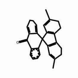 CC1=CC2=C(CC1)C1=C(C=C(C)CC1)C21C2=CCCC=C2C(=O)c2ccccc21